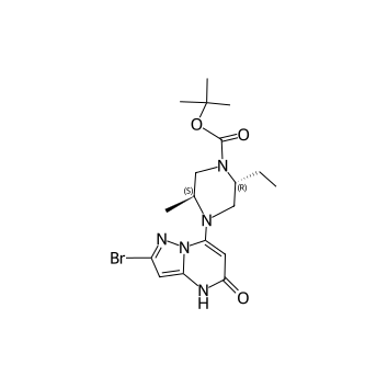 CC[C@@H]1CN(c2cc(=O)[nH]c3cc(Br)nn23)[C@@H](C)CN1C(=O)OC(C)(C)C